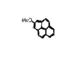 COc1[c]c2ccc3cccc4ccc(c1)c2c34